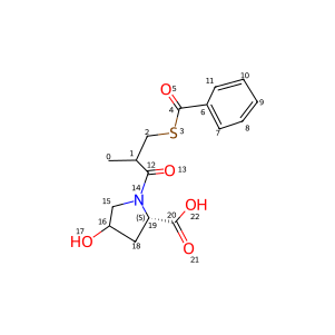 CC(CSC(=O)c1ccccc1)C(=O)N1CC(O)C[C@H]1C(=O)O